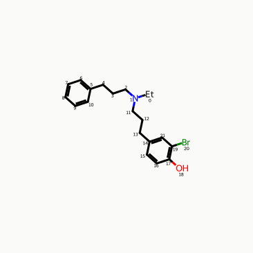 CCN(CCCc1ccccc1)CCCc1ccc(O)c(Br)c1